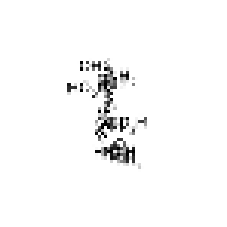 CC(C)(SSCCOC(=O)CC[C@H](NC(=O)c1ccc(CCCc2cc3c(=O)[nH]c(N)nc3[nH]2)s1)C(=O)O)[C@H](NC(=O)C(N)CCC=O)C(=O)O